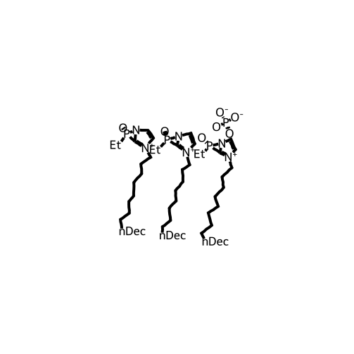 CCCCCCCCCCCCCCCCCC[n+]1ccn2c1P2(=O)CC.CCCCCCCCCCCCCCCCCC[n+]1ccn2c1P2(=O)CC.CCCCCCCCCCCCCCCCCC[n+]1ccn2c1P2(=O)CC.O=P([O-])([O-])[O-]